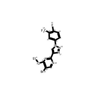 CCOc1nc(-c2cn(-c3ccc(F)c(C(F)(F)F)c3)nn2)ncc1Br